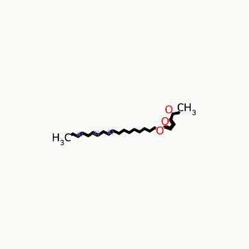 CC/C=C/C/C=C/C/C=C/CCCCCCCCOc1ccc(C(=O)CC)o1